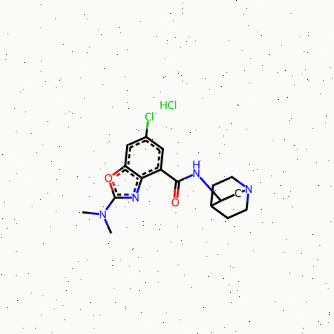 CN(C)c1nc2c(C(=O)NC3CN4CCC3CC4)cc(Cl)cc2o1.Cl